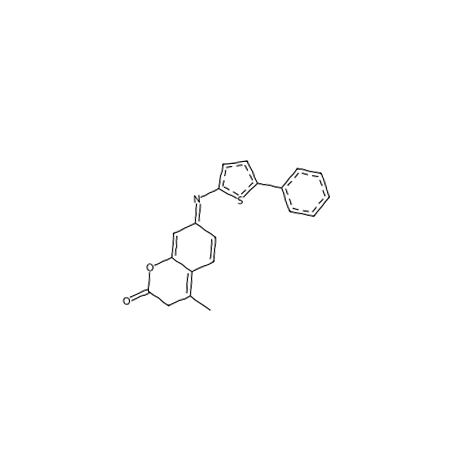 CC1=C2C=CC(=Nc3ccc(-c4ccccc4)s3)C=C2OC(=O)C1